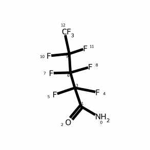 NC(=O)C(F)(F)C(F)(F)C(F)(F)C(F)(F)F